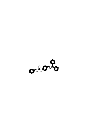 O=C(OCc1ccccc1)Oc1ccc([CH]OC(c2ccccc2)c2ccccc2)cc1